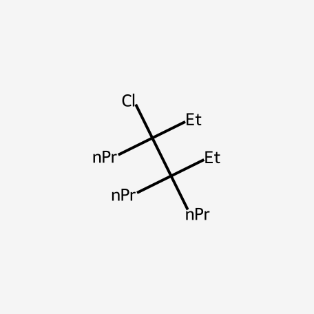 CCCC(Cl)(CC)C(CC)(CCC)CCC